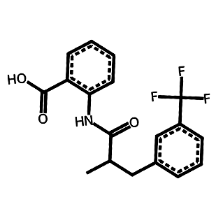 CC(Cc1cccc(C(F)(F)F)c1)C(=O)Nc1ccccc1C(=O)O